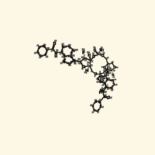 N#CCCOP1(=S)OC[C@H]2O[C@@H](n3cnc4c(NC(=O)c5ccccc5)ncnc43)[C@H](F)[C@@H]2OP(=O)(S)OCC23CO[C@@H]([C@H](n4cnc5c(NC(=O)c6ccccc6)ncnc54)O2)[C@@H]3O1